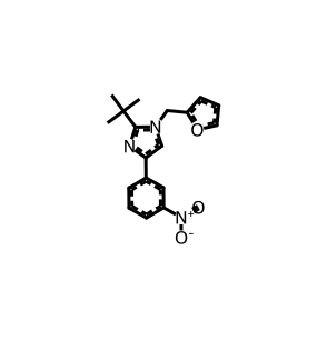 CC(C)(C)c1nc(-c2cccc([N+](=O)[O-])c2)cn1Cc1ccco1